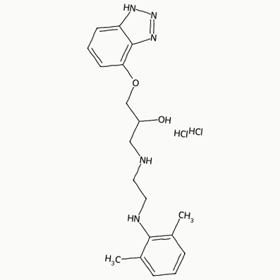 Cc1cccc(C)c1NCCNCC(O)COc1cccc2[nH]nnc12.Cl.Cl